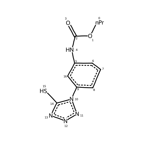 CCCOC(=O)Nc1cccc(-n2nnnc2S)c1